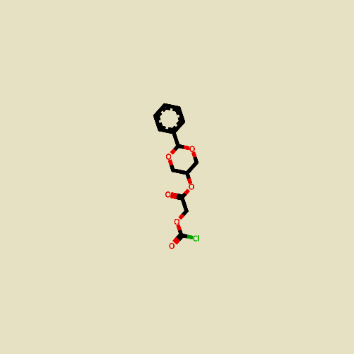 O=C(Cl)OCC(=O)OC1COC(c2ccccc2)OC1